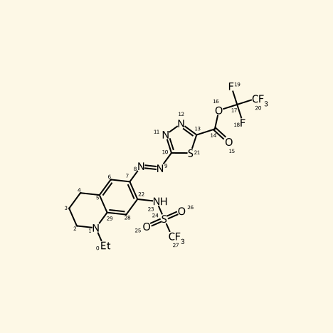 CCN1CCCc2cc(N=Nc3nnc(C(=O)OC(F)(F)C(F)(F)F)s3)c(NS(=O)(=O)C(F)(F)F)cc21